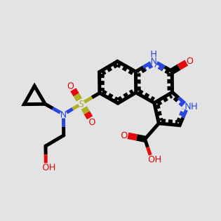 O=C(O)c1c[nH]c2c(=O)[nH]c3ccc(S(=O)(=O)N(CCO)C4CC4)cc3c12